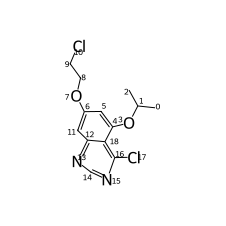 CC(C)Oc1cc(OCCCl)cc2ncnc(Cl)c12